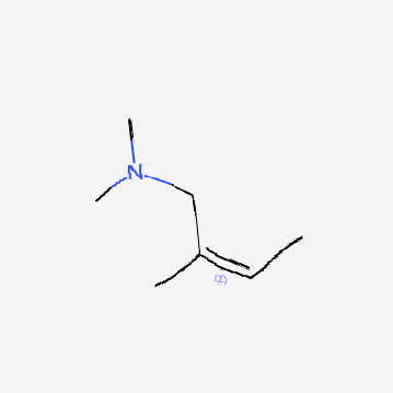 C/C=C(/C)CN(C)C